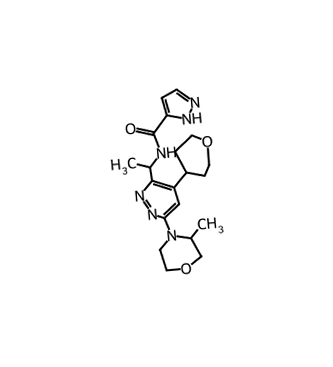 CC(NC(=O)c1ccn[nH]1)c1nnc(N2CCOCC2C)cc1C1CCOCC1